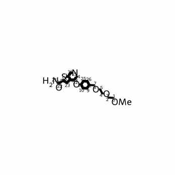 COCCOCCOCc1ccc(Oc2cncc3sc(C(N)=O)cc23)cc1